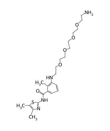 Cc1nc(NC(=O)c2cccc(NCCOCCOCCOCCOCCN)c2C)sc1C